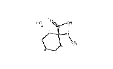 COC1(C(=O)O)CCCCC1.Cl